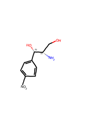 N[C@@H](CO)[C@@H](O)c1ccc([N+](=O)[O-])cc1